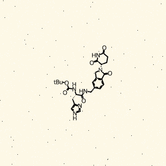 CC(C)(C)OC(=O)N[C@@H](Cc1c[nH]cn1)C(=O)NCc1ccc2c(c1)CN([C@H]1CCC(=O)NC1=O)C2=O